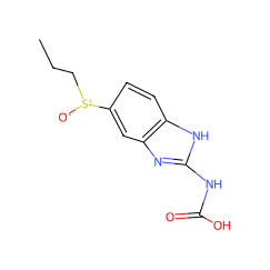 CCC[S+]([O-])c1ccc2[nH]c(NC(=O)O)nc2c1